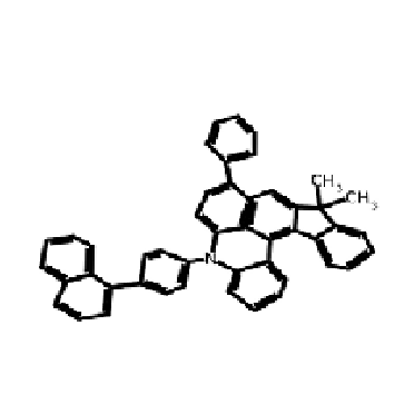 CC1(C)c2ccccc2-c2c(-c3ccccc3N(c3ccc(-c4ccccc4)cc3)c3ccc(-c4cccc5ccccc45)cc3)cccc21